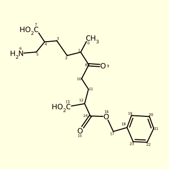 CC(CCC(CN)C(=O)O)C(=O)CCC(C(=O)O)C(=O)OCc1ccccc1